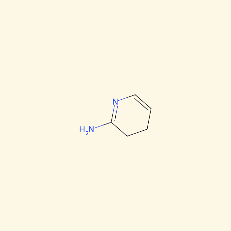 NC1=NC=CCC1